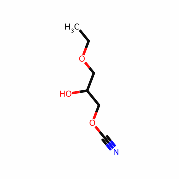 CCOCC(O)COC#N